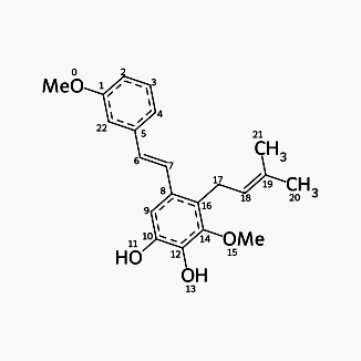 COc1cccc(/C=C/c2cc(O)c(O)c(OC)c2CC=C(C)C)c1